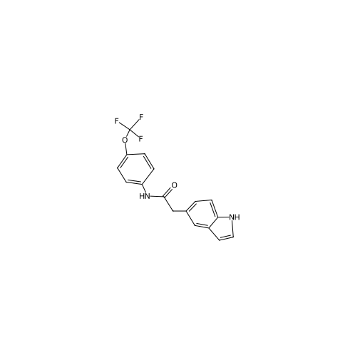 O=C(Cc1ccc2[nH]ccc2c1)Nc1ccc(OC(F)(F)F)cc1